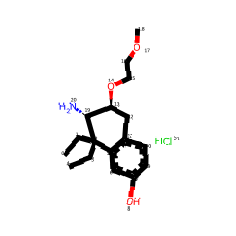 CCC1(CC)c2cc(O)ccc2C[C@H](OCCOC)[C@H]1N.Cl